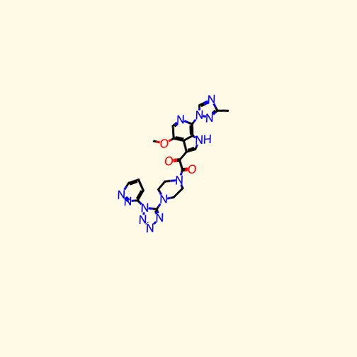 COc1cnc(-n2cnc(C)n2)c2[nH]cc(C(=O)C(=O)N3CCN(c4nnnn4-c4cccnn4)CC3)c12